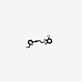 FCc1cccc(C#CCCn2nc3cccc(Cl)c3n2)n1